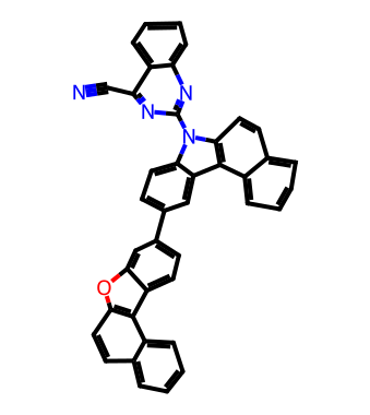 N#Cc1nc(-n2c3ccc(-c4ccc5c(c4)oc4ccc6ccccc6c45)cc3c3c4ccccc4ccc32)nc2ccccc12